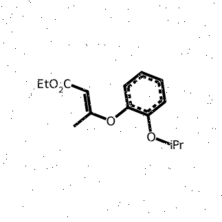 CCOC(=O)C=C(C)Oc1ccccc1OC(C)C